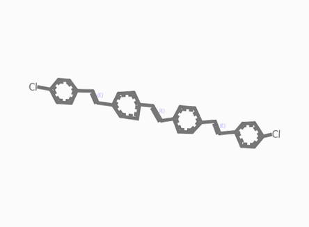 Clc1ccc(/C=C/c2ccc(/C=C/c3ccc(/C=C/c4ccc(Cl)cc4)cc3)cc2)cc1